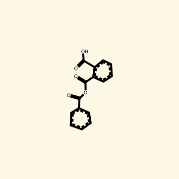 O=C(OC(=O)c1ccccc1C(=O)O)c1ccccc1